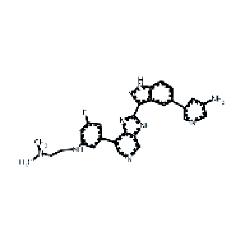 CN(C)CCNc1cc(F)cc(-c2cncc3[nH]c(-c4n[nH]c5ccc(-c6cncc(N)c6)cc45)nc23)c1